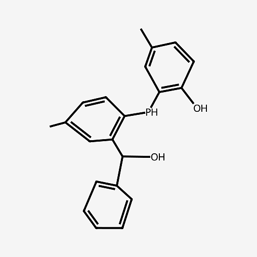 Cc1ccc(O)c(Pc2ccc(C)cc2C(O)c2ccccc2)c1